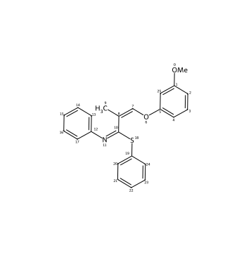 COc1cccc(OC=C(C)/C(=N\c2ccccc2)Sc2ccccc2)c1